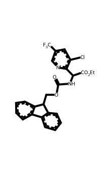 CCOC(=O)C(NC(=O)OCC1c2ccccc2-c2ccccc21)c1ncc(C(F)(F)F)cc1Cl